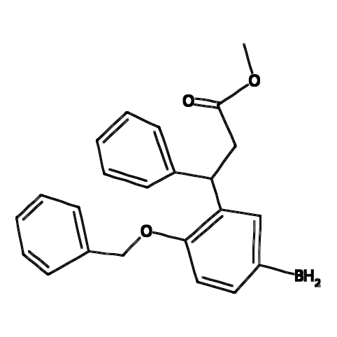 Bc1ccc(OCc2ccccc2)c(C(CC(=O)OC)c2ccccc2)c1